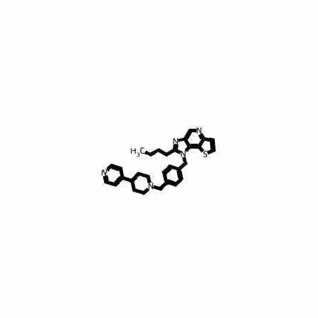 CCCCc1nc2cnc3ccsc3c2n1Cc1ccc(CN2CCC(c3ccncc3)CC2)cc1